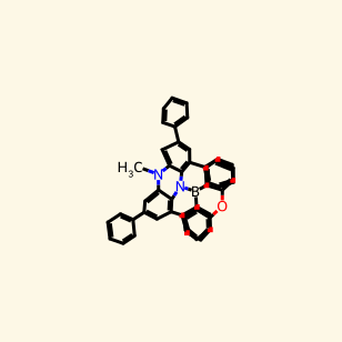 CN1c2cc(-c3ccccc3)cc(-c3ccccc3)c2N(B2c3ccccc3Oc3ccccc32)c2c(-c3ccccc3)cc(-c3ccccc3)cc21